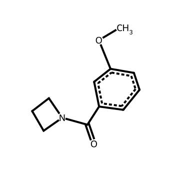 COc1cccc(C(=O)N2CCC2)c1